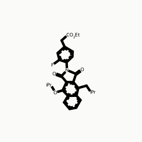 CCOC(=O)Cc1ccc(N2C(=O)c3c(c(OC(C)C)c4ccccc4c3CC(C)C)C2=O)c(F)c1